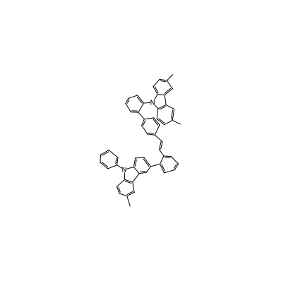 Cc1ccc2c(c1)c1cc(-c3ccccc3/C=C/c3ccc(-c4ccccc4-n4c5ccc(C)cc5c5cc(C)ccc54)cc3)ccc1n2-c1ccccc1